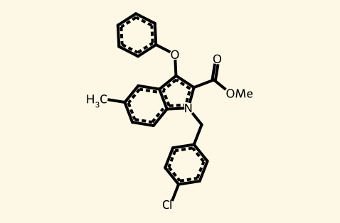 COC(=O)c1c(Oc2ccccc2)c2cc(C)ccc2n1Cc1ccc(Cl)cc1